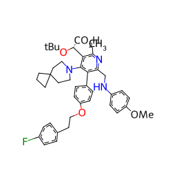 COc1ccc(NCc2nc(C)c([C@H](OC(C)(C)C)C(=O)O)c(N3CCC4(CCC4)CC3)c2-c2ccc(OCCc3ccc(F)cc3)cc2)cc1